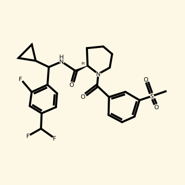 CS(=O)(=O)c1cccc(C(=O)N2CCCC[C@@H]2C(=O)NC(c2ccc(C(F)F)cc2F)C2CC2)c1